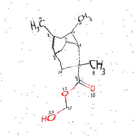 CC1C2CC(C1C)C(C)(C(=O)OCO)C2